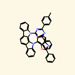 Cc1ccc(-c2nc(-c3ccccc3)nc(-n3c4ccccc4c4ccc5c6ccccc6n(-c6cccc7nc(-c8ccccc8)oc67)c5c43)n2)cc1